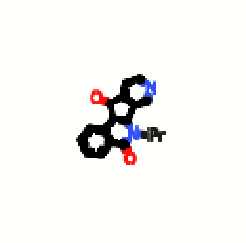 CC(C)n1c2c(c3ccccc3c1=O)C(=O)c1ccncc1-2